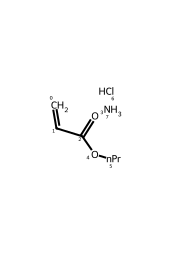 C=CC(=O)OCCC.Cl.N